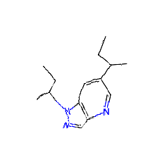 CCC(C)c1cnc2cnn(C(C)CC)c2c1